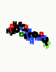 C[C@H]1CO[C@@H](c2nc3c4c(ncc(Cl)n24)Nc2cc(C(=O)Nc4cc(C(F)(F)F)ccn4)ccc2-3)CN1[C@H]1CC[C@@](C)(C(=O)O)CC1